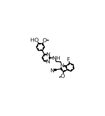 COc1cc(-c2ccnc(NCCn3c(C#N)c(OC)c4cccc(F)c43)n2)ccc1O